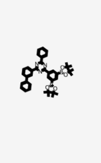 CC1(C)OB(c2cc(B3OC(C)(C)C(C)(C)O3)cc(-c3nc(-c4ccccc4)nc(-c4cccc(-c5ccccc5)c4)n3)c2)OC1(C)C